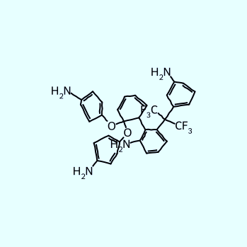 Nc1ccc(OC2(Oc3ccc(N)cc3)C=CC=CC2c2c(N)cccc2C(c2cccc(N)c2)(C(F)(F)F)C(F)(F)F)cc1